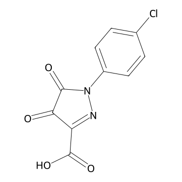 O=C(O)C1=NN(c2ccc(Cl)cc2)C(=O)C1=O